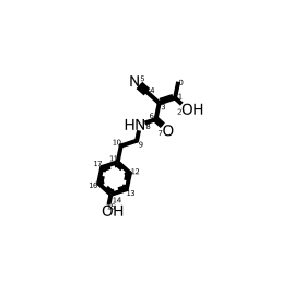 C/C(O)=C(\C#N)C(=O)NCCc1ccc(O)cc1